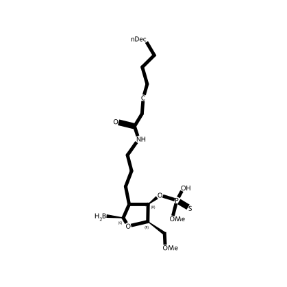 B[C@@H]1O[C@H](COC)[C@H](OP(O)(=S)OC)C1CCCNC(=O)CCCCCCCCCCCCCCC